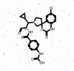 O=C[C@@H](NC(=O)c1ccc(NC(=O)O)cc1)C(C1CC1)N1CCC2(C1)OC(=O)Nc1ccc(Cl)cc12